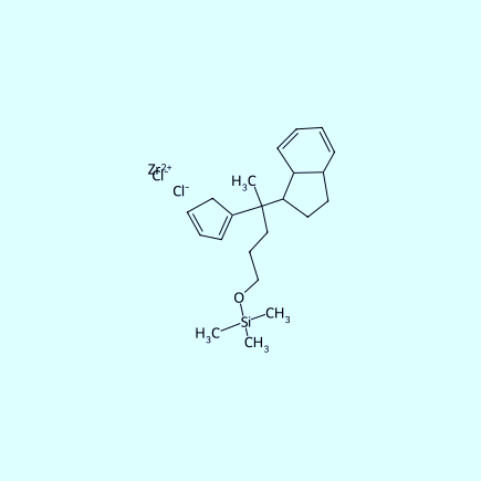 CC(CCCO[Si](C)(C)C)(C1=CC=CC1)C1CCC2C=CC=CC21.[Cl-].[Cl-].[Zr+2]